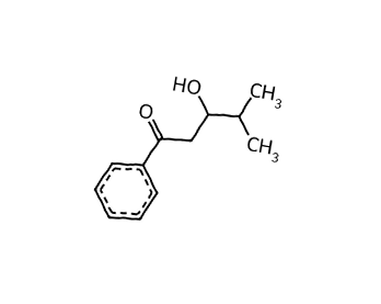 CC(C)C(O)CC(=O)c1ccccc1